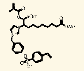 C=C(C)C(=O)OC(CCCCCCCC)C(CCCCCCCC(=O)OC)n1cc[n+](Cc2ccccc2)c1.C=Cc1ccc(S(=O)(=O)[O-])cc1